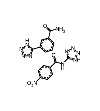 NC(=O)c1cccc(-c2nnn[nH]2)c1.O=C(Nc1nnn[nH]1)c1ccc([N+](=O)[O-])cc1